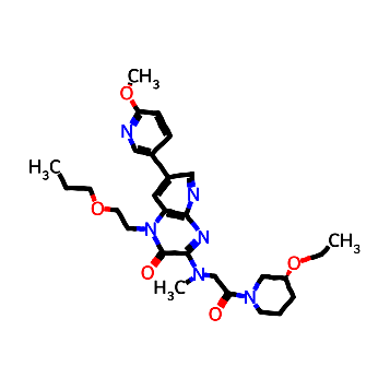 CCCOCCn1c(=O)c(N(C)CC(=O)N2CCC[C@H](OCC)C2)nc2ncc(-c3ccc(OC)nc3)cc21